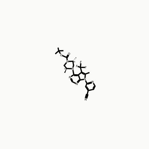 Cc1c(C(F)(F)F)c2c(N3C[C@@H](C)N(C(=O)OC(C)(C)C)C[C@@H]3C)ncnc2n1-c1cc(C#N)ccn1